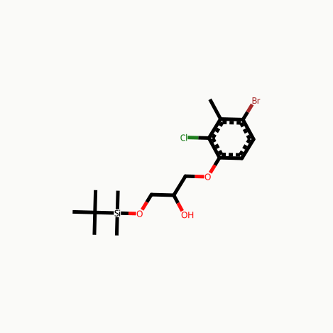 Cc1c(Br)ccc(OCC(O)CO[Si](C)(C)C(C)(C)C)c1Cl